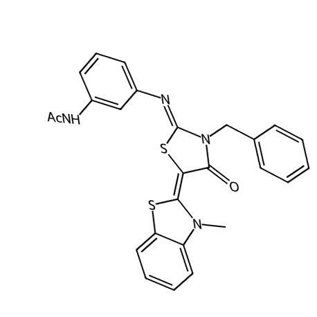 CC(=O)Nc1cccc(/N=C2\S/C(=C3\Sc4ccccc4N3C)C(=O)N2Cc2ccccc2)c1